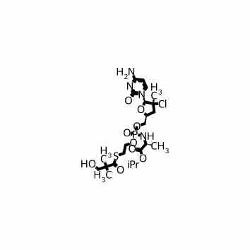 CC(C)OC(=O)[C@@H](C)NP(=O)(OCCSC(=O)C(C)(C)CO)OC[C@@H]1C[C@@](C)(Cl)[C@H](n2ccc(N)nc2=O)O1